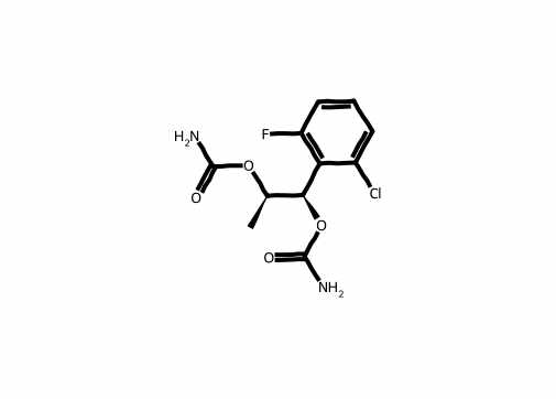 C[C@@H](OC(N)=O)[C@H](OC(N)=O)c1c(F)cccc1Cl